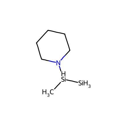 C[SiH]([SiH3])N1CCCCC1